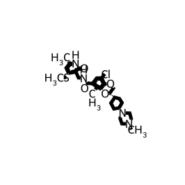 CSc1cc(C)[nH]c(=O)c1CNC(=O)c1cc(Cl)c2c(c1C)O[C@@H](C1CCC(N3CCN(C)CC3)CC1)CO2